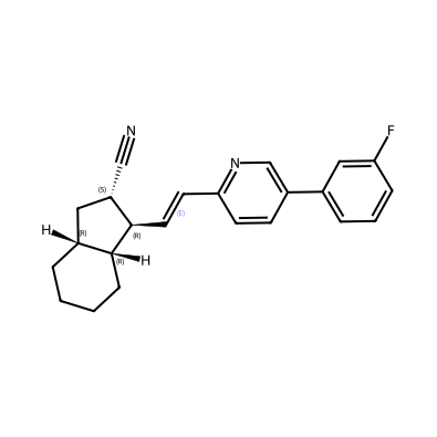 N#C[C@H]1C[C@H]2CCCC[C@H]2[C@@H]1/C=C/c1ccc(-c2cccc(F)c2)cn1